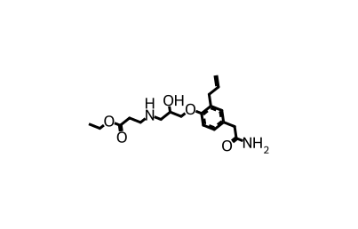 C=CCc1cc(CC(N)=O)ccc1OCC(O)CNCCC(=O)OCC